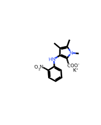 Cc1c(Nc2ccccc2[N+](=O)[O-])c(C(=O)[O-])n(C)c1C.[K+]